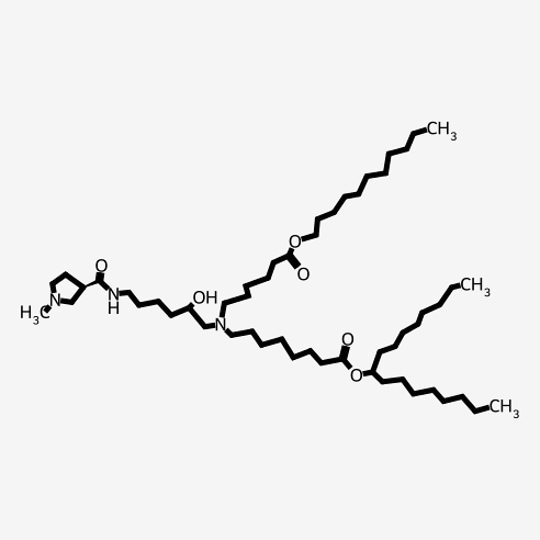 CCCCCCCCCCCOC(=O)CCCCCN(CCCCCCCC(=O)OC(CCCCCCCC)CCCCCCCC)CC(O)CCCCNC(=O)[C@@H]1CCN(C)C1